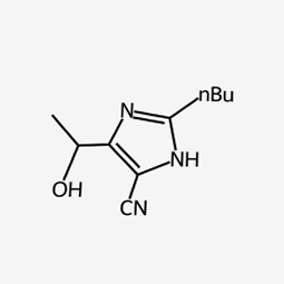 CCCCc1nc(C(C)O)c(C#N)[nH]1